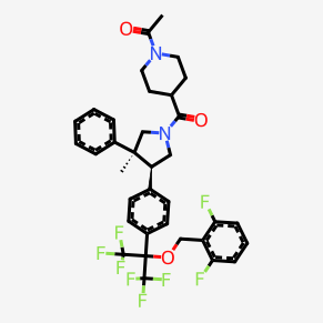 CC(=O)N1CCC(C(=O)N2C[C@@H](c3ccc(C(OCc4c(F)cccc4F)(C(F)(F)F)C(F)(F)F)cc3)[C@@](C)(c3ccccc3)C2)CC1